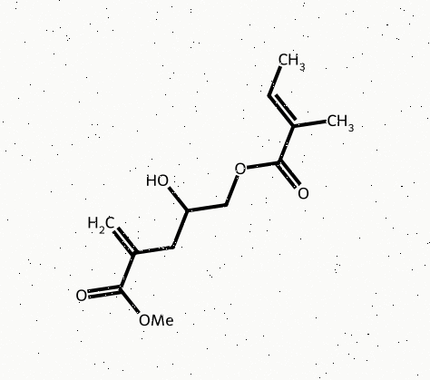 C=C(CC(O)COC(=O)C(C)=CC)C(=O)OC